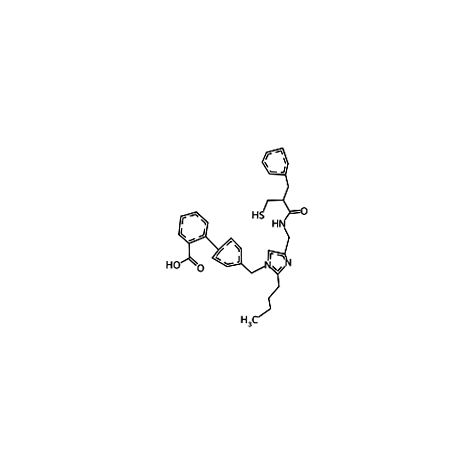 CCCCc1nc(CNC(=O)C(CS)Cc2ccccc2)cn1Cc1ccc(-c2ccccc2C(=O)O)cc1